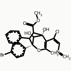 C=N/C=C(/Cl)C1=C(C)O[C@@]2(c3ccc(Br)cc3)C(c3ccccc3)C(C(=O)OC)[C@]1(O)C2O